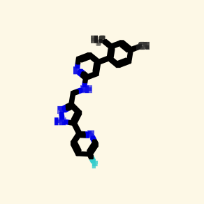 Cc1cc(C#N)ccc1-c1ccnc(NCc2cc(-c3ccc(F)cn3)[nH]n2)c1